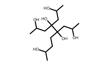 CC(O)CCC(O)(CC(C)O)C(O)(CC(C)O)CC(C)O